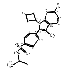 C[C@H](NS(=O)(=O)c1ccc(-c2c(C#N)c3ccc(C#N)nc3n2C2CCC2)nc1)C(F)(F)F